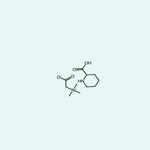 C[N+](C)(C)CC(=O)[O-].O=C(O)C1CCCCN1